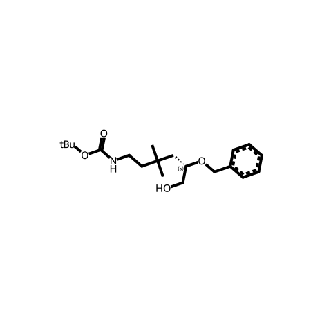 CC(C)(CCNC(=O)OC(C)(C)C)C[C@@H](CO)OCc1ccccc1